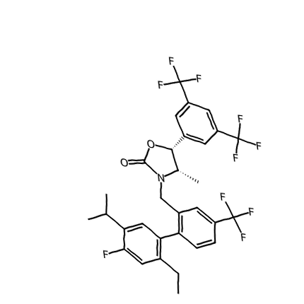 CCc1cc(F)c(C(C)C)cc1-c1ccc(C(F)(F)F)cc1CN1C(=O)O[C@H](c2cc(C(F)(F)F)cc(C(F)(F)F)c2)[C@@H]1C